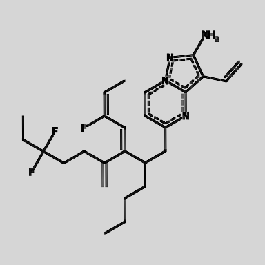 C=Cc1c(N)nn2ccc(CC(CCCC)/C(=C/C(F)=C\C)C(=C)CCC(F)(F)CC)nc12